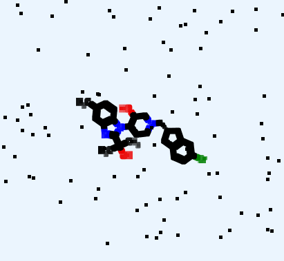 Cc1ccc2c(c1)nc(C(C)(C)O)n2C1CCN(C[C@H]2Cc3ccc(Br)cc3C2)CC1O